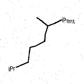 CCCC(C)C(C)CCCC(C)C